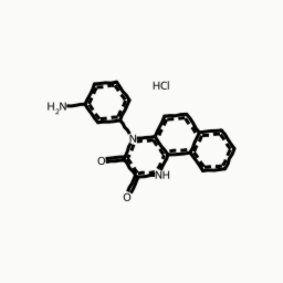 Cl.Nc1cccc(-n2c(=O)c(=O)[nH]c3c4ccccc4ccc32)c1